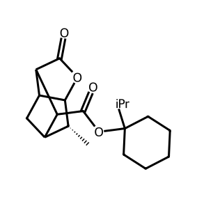 CC(C)C1(OC(=O)C2C3C(=O)OC4C3CC2[C@H]4C)CCCCC1